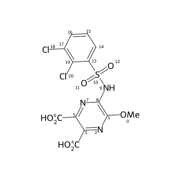 COc1nc(C(=O)O)c(C(=O)O)nc1NS(=O)(=O)c1cccc(Cl)c1Cl